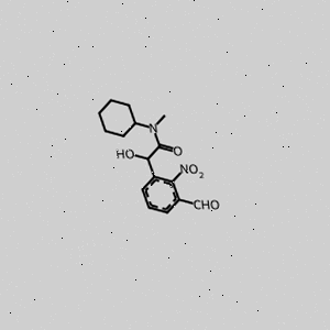 CN(C(=O)C(O)c1cccc(C=O)c1[N+](=O)[O-])C1CCCCC1